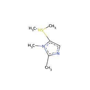 Cc1ncc([SH](C)C)n1C